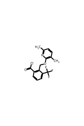 Cc1ccc(C)c(OCc2c(C(=O)Cl)cccc2C(F)(F)F)n1